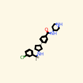 C[C@@H](NC1CC[C@H](c2ccc(C(=O)NC3CCNCC3)cc2)C1)c1cccc(Cl)c1